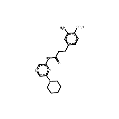 O=C(CCc1ccc(C(=O)O)c(P)c1)Nc1cncc(N2CCCCC2)n1